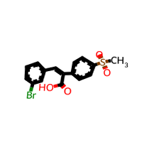 CS(=O)(=O)c1ccc(C(=Cc2cccc(Br)c2)C(=O)O)cc1